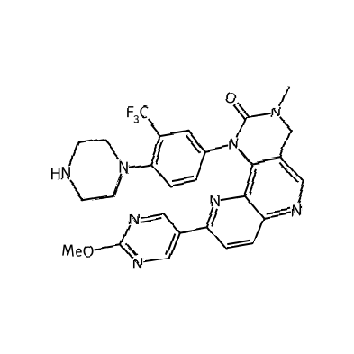 COc1ncc(-c2ccc3ncc4c(c3n2)N(c2ccc(N3CCNCC3)c(C(F)(F)F)c2)C(=O)N(C)C4)cn1